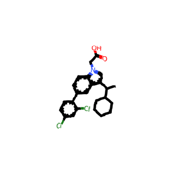 CC(c1cn(CC(=O)O)c2ccc(-c3ccc(Cl)cc3Cl)cc12)C1CCCCC1